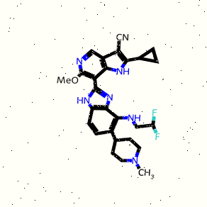 COc1ncc2c(C#N)c(C3CC3)[nH]c2c1-c1nc2c(NCC(F)F)c(C3CCN(C)CC3)ccc2[nH]1